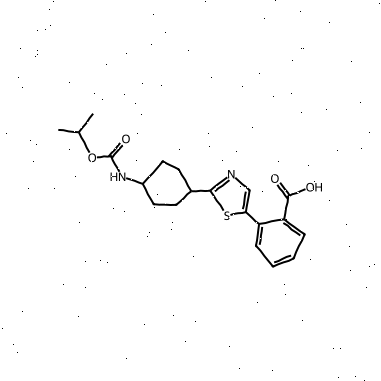 CC(C)OC(=O)NC1CCC(c2ncc(-c3ccccc3C(=O)O)s2)CC1